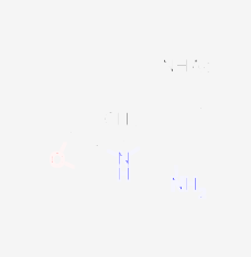 CC(=O)Nc1ccc(N)c(NC2(C)COC2)c1